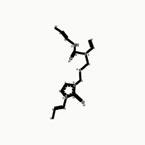 C=CN(CSCn1ccn(/C=C/C)c1=O)C(=O)N/C=C/C